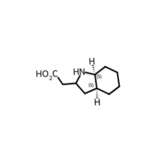 O=C(O)CC1C[C@@H]2CCCC[C@@H]2N1